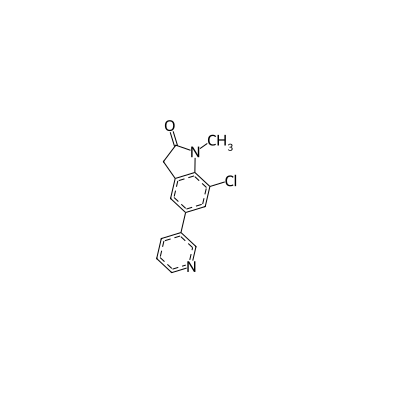 CN1C(=O)Cc2cc(-c3cccnc3)cc(Cl)c21